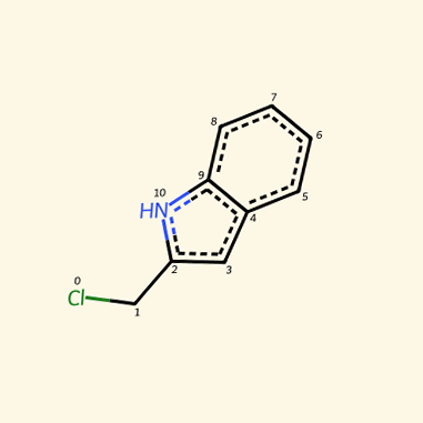 ClCc1cc2ccccc2[nH]1